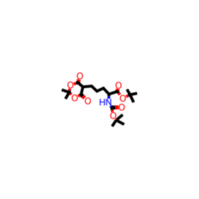 CC(C)(C)OC(=O)NC(CCCC1C(=O)OC(C)(C)OC1=O)C(=O)OC(C)(C)C